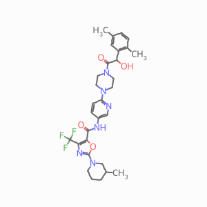 Cc1ccc(C)c(C(O)C(=O)N2CCN(c3ccc(NC(=O)c4oc(N5CCCC(C)C5)nc4C(F)(F)F)cn3)CC2)c1